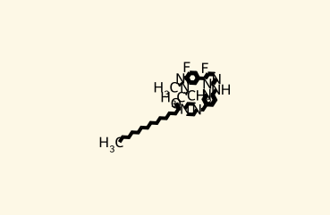 CCCCCCCCCCCCCC(=O)N1CCN(Cc2ccc(Nc3ncc(F)c(-c4cc(F)c5nc(C)n(C(C)C)c5c4)n3)nc2)CC1